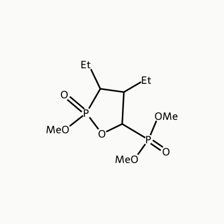 CCC1C(CC)P(=O)(OC)OC1P(=O)(OC)OC